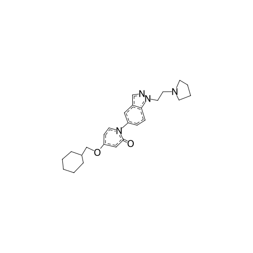 O=c1cc(OCC2CCCCC2)ccn1-c1ccc2c(cnn2CCN2CCCC2)c1